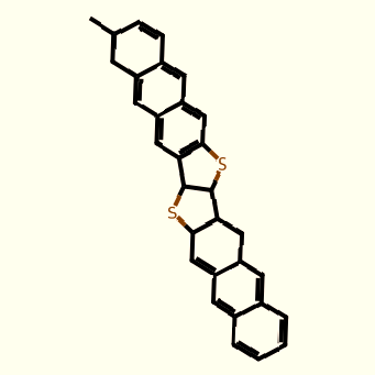 CC1C=Cc2cc3cc4c(cc3cc2C1)C1SC2C=C3C=c5ccccc5=CC3CC2C1S4